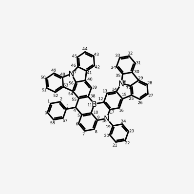 c1ccc(C2c3cccc4c3B(c3cc5c(cc3N4c3ccccc3)c3cccc4c6ccccc6n5c43)c3cc4c5ccccc5n5c6ccccc6c(c32)c45)cc1